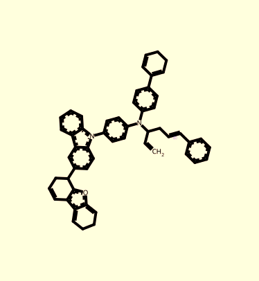 C=CC(C/C=C/c1ccccc1)N(c1ccc(C2=CCCC=C2)cc1)c1ccc(-n2c3ccccc3c3cc(C4CC=Cc5c4oc4c5=CCCC=4)ccc32)cc1